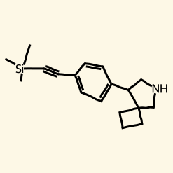 C[Si](C)(C)C#Cc1ccc(C2CNCC23CCC3)cc1